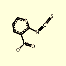 O=[N+]([O-])c1cccnc1N=C=S